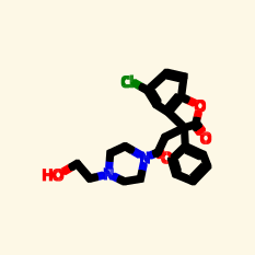 O=C(CC1(c2ccccc2)C(=O)Oc2ccc(Cl)cc21)N1CCN(CCO)CC1